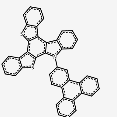 c1ccc2c(c1)sc1c2c2sc3ccccc3c2c2c3ccccc3n(-c3ccc4c5ccccc5c5ccccc5c4c3)c12